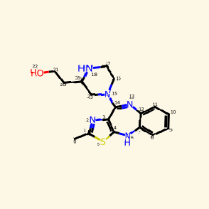 Cc1nc2c(s1)Nc1ccccc1N=C2N1CCNC(CCO)C1